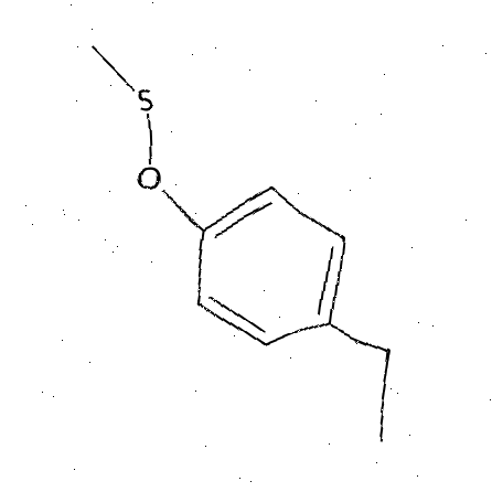 CCc1ccc(OSC)cc1